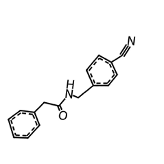 N#Cc1ccc(CNC(=O)Cc2ccccc2)cc1